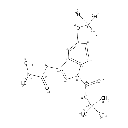 [2H]C([2H])([2H])Oc1ccc2c(c1)c(CC(=O)N(C)C)cn2C(=O)OC(C)(C)C